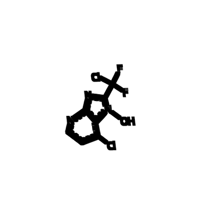 On1c(C(F)(F)Cl)nc2nccc(Cl)c21